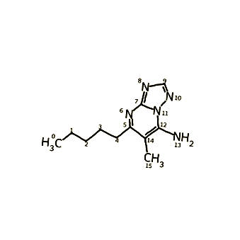 CCCCCc1nc2ncnn2c(N)c1C